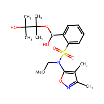 COCN(c1onc(C)c1C)S(=O)(=O)c1ccccc1B(O)OC(C)(C)C(C)(C)O